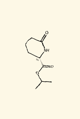 CC(C)OC(=O)[C@@H]1CCCC(=O)N1